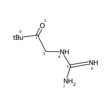 CC(C)(C)C(=O)CNC(=N)N